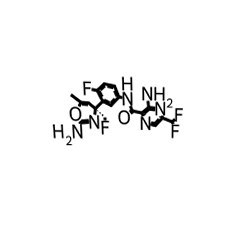 CC1=C[C@@](CF)(c2cc(NC(=O)c3ncc(C(F)F)nc3N)ccc2F)N=C(N)O1